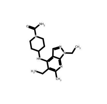 CCn1ncc2c(NC3CCN(C(N)=O)CC3)c(CN)c(C)nc21